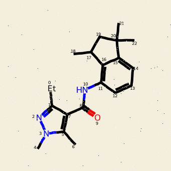 CCc1nn(C)c(C)c1C(=O)Nc1cccc2c1C(C)CC2(C)C